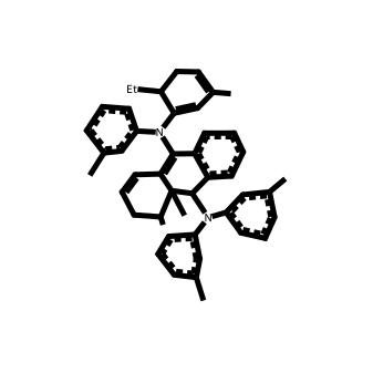 CCC1CC=C(C)C=C1N(C1=C2C=CCC(C)C2(C)C(N(c2cccc(C)c2)c2cccc(C)c2)c2ccccc21)c1cccc(C)c1